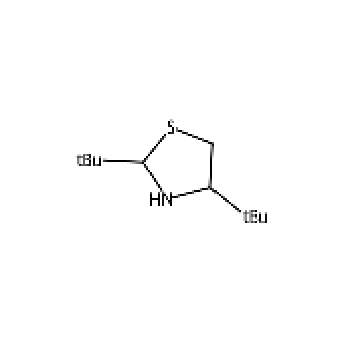 CC(C)(C)C1CSC(C(C)(C)C)N1